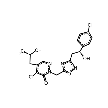 C[C@@H](O)Cc1cnn(Cc2nc(C[C@H](O)c3ccc(Cl)cc3)no2)c(=O)c1Cl